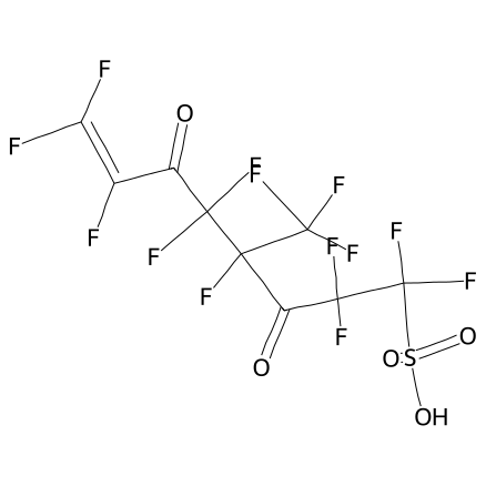 O=C(C(F)=C(F)F)C(F)(F)C(F)(C(=O)C(F)(F)C(F)(F)S(=O)(=O)O)C(F)(F)F